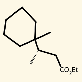 CCOC(=O)C[C@H](C)C1(C)CCCCC1